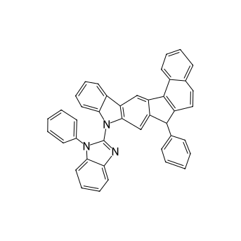 c1ccc(C2c3cc4c(cc3-c3c2ccc2ccccc32)c2ccccc2n4-c2nc3ccccc3n2-c2ccccc2)cc1